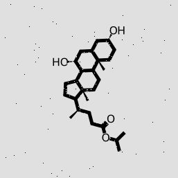 CC(C)OC(=O)CC[C@@H](C)C1CCC2C3C(CC[C@@]21C)[C@@]1(C)CC[C@@H](O)CC1C[C@H]3O